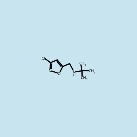 CC(C)(C)NCc1cc(Cl)no1